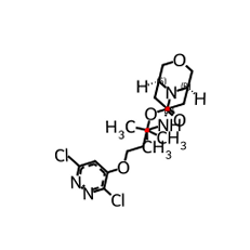 CC(C)(C)OC(=O)N1[C@@H]2COC[C@H]1C[C@H](NCCCOc1cc(Cl)nnc1Cl)C2